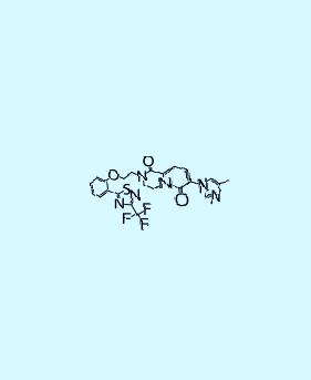 Cc1cn(-c2ccc3n(c2=O)CCN(CCOc2ccccc2-c2nc(C(F)(F)F)ns2)C3=O)cn1